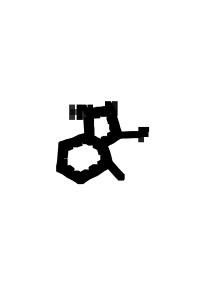 Cc1cccc2[nH]nc(F)c12